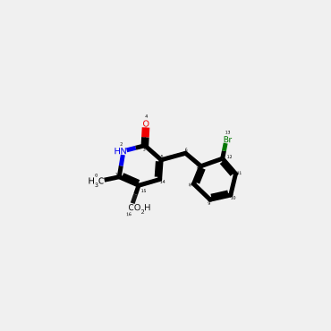 Cc1[nH]c(=O)c(Cc2ccccc2Br)cc1C(=O)O